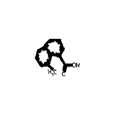 Cc1cccc2cccc(C(=O)O)c12